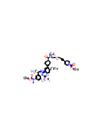 COc1cc2nc(C)nc(N[C@H](C)c3cc(NC(=O)OC(C)(C)C)cc(C(F)(F)F)c3)c2cc1[C@H]1CC[C@H](C(=O)N(C)CCOCC#CC2CCN(C(=O)OC(C)(C)C)CC2)CC1